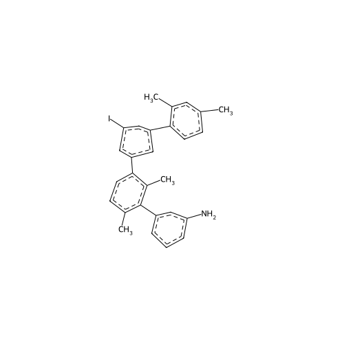 Cc1ccc(-c2cc(I)cc(-c3ccc(C)c(-c4cccc(N)c4)c3C)c2)c(C)c1